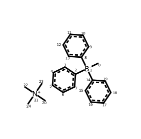 C[B-](c1ccccc1)(c1ccccc1)c1ccccc1.C[N+](C)(C)C